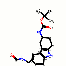 CC(C)(C)OC(=O)NC1CCc2[nH]c3ccc(CNC=O)cc3c2C1